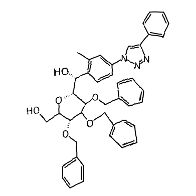 Cc1cc(-n2cc(-c3ccccc3)nn2)ccc1[C@@H](O)[C@H]1OC(CO)[C@@H](OCc2ccccc2)C(OCc2ccccc2)C1OCc1ccccc1